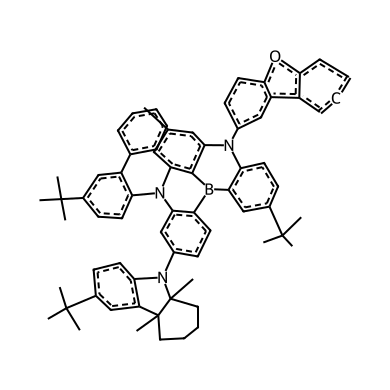 Cc1cc2c3c(c1)N(c1ccc(C(C)(C)C)cc1-c1ccccc1)c1cc(N4c5ccc(C(C)(C)C)cc5C5(C)CCCCC45C)ccc1B3c1cc(C(C)(C)C)ccc1N2c1ccc2oc3ccccc3c2c1